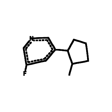 CC1CCCC1c1cncc(F)c1